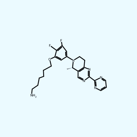 C[C@H]1c2cnc(-c3ncccn3)nc2CCN1c1cc(F)c(F)c(OCCCCCCN)c1